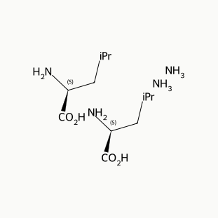 CC(C)C[C@H](N)C(=O)O.CC(C)C[C@H](N)C(=O)O.N.N